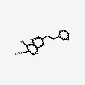 CCOC(=O)c1cnc2cc(SCc3ccccc3)ccc2c1O